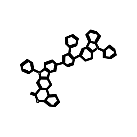 C=C1Oc2ccccc2C2Cc3c(n(-c4ccccc4)c4ccc(-c5ccc(C6=Cc7c(n(-c8ccccc8)c8ccccc78)CC6)c(-c6ccccc6)c5)cc34)C=C12